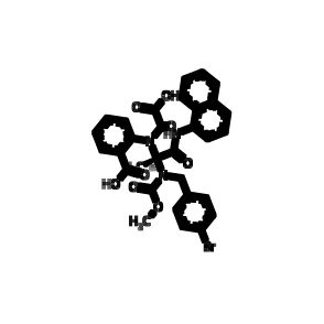 COC(=O)N(Cc1ccc(Br)cc1)[C@@](C)(C(=O)Nc1cccc2ccccc12)N(C(=O)C(=O)O)c1ccccc1C(=O)O